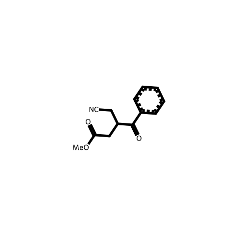 COC(=O)CC(CC#N)C(=O)c1ccccc1